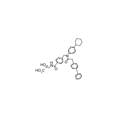 O=C(NC[C@@H](O)C(=O)O)c1ccc(CN(C(=O)Cc2ccc(-c3ccccc3)cc2)c2ccc(C3CCCCC3)cc2)cc1